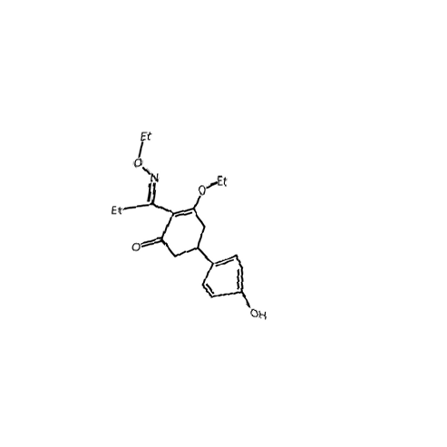 CCO/N=C(\CC)C1=C(OCC)CC(c2ccc(O)cc2)CC1=O